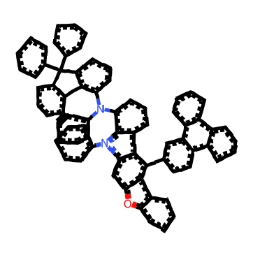 c1cccc(N(c2cccc3c2-c2ccccc2C3(c2ccccc2)c2ccccc2)c2cccc3c4c(-c5ccc6c7ccccc7c7ccccc7c6c5)c5c(cc4n(-c4ccccc4)c23)oc2ccccc25)c#1